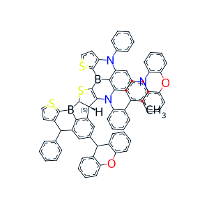 Cc1ccccc1-c1ccccc1N1C2=C(SC3B4c5sccc5C(c5ccccc5)c5cc(C6c7ccccc7Oc7ccccc76)cc(c54)[C@@H]23)B2c3sccc3N(c3ccccc3)c3cc(N4c5ccccc5Oc5ccccc54)cc1c32